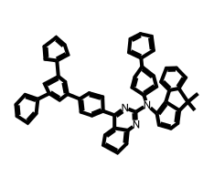 CC1(C)c2ccccc2-c2c(N(c3ccc(-c4ccccc4)cc3)c3nc(-c4ccc(-c5cc(-c6ccccc6)cc(-c6ccccc6)c5)cc4)c4ccccc4n3)cccc21